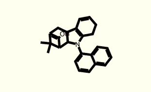 CC1(C)C2=C(O)C1C1C(C2)C2=C(CCC=C2)N1c1cccc2ccccc12